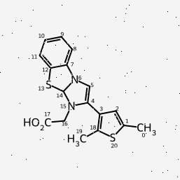 Cc1cc(C2=CN3c4ccccc4SC3N2CC(=O)O)c(C)s1